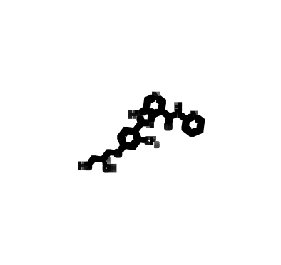 O=C(Nc1ccccn1)c1cncc2[nH]c(-c3ccc(OC[C@H](O)CO)cc3C(F)(F)F)nc12